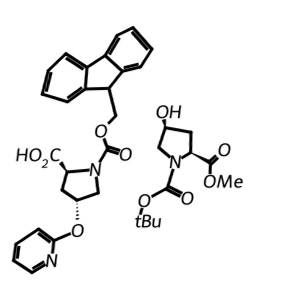 COC(=O)[C@@H]1C[C@H](O)CN1C(=O)OC(C)(C)C.O=C(O)[C@@H]1C[C@@H](Oc2ccccn2)CN1C(=O)OCC1c2ccccc2-c2ccccc21